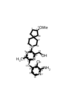 CO[C@@H]1CCC2(CCN(c3nc(C)c(Sc4ccnc(N)c4Cl)nc3CO)CC2)C1